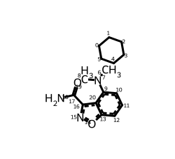 C1CCCCC1.CN(C)c1cccc2onc(C(N)=O)c12